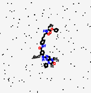 CC[C@H]1C(=O)N(C)c2cnc(Nc3ccc(C(=O)Nc4ccc(CCCC(=O)N[C@H](CC(C)C)C(=O)OC5CCCC5)cc4)cc3OC)nc2N1C1CCCC1